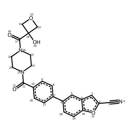 N#Cc1cc2cc(-c3ccc(C(=O)N4CCN(C(=O)C5(O)COC5)CC4)cc3)ccc2o1